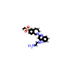 CCS(=O)(=O)c1ccc2c(c1)CCCN(c1cc(NCCN)c3ccccc3n1)C2